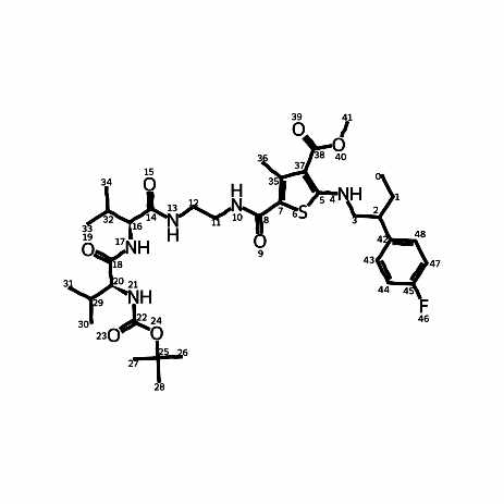 CCC(CNc1sc(C(=O)NCCNC(=O)[C@@H](NC(=O)[C@@H](NC(=O)OC(C)(C)C)C(C)C)C(C)C)c(C)c1C(=O)OC)c1ccc(F)cc1